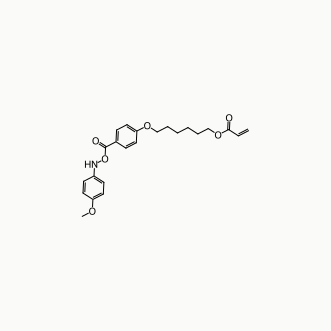 C=CC(=O)OCCCCCCOc1ccc(C(=O)ONc2ccc(OC)cc2)cc1